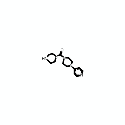 O=C(N1CCNCC1)N1CCN(c2ccncc2)CC1